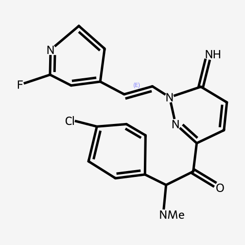 CNC(C(=O)c1ccc(=N)n(/C=C/c2ccnc(F)c2)n1)c1ccc(Cl)cc1